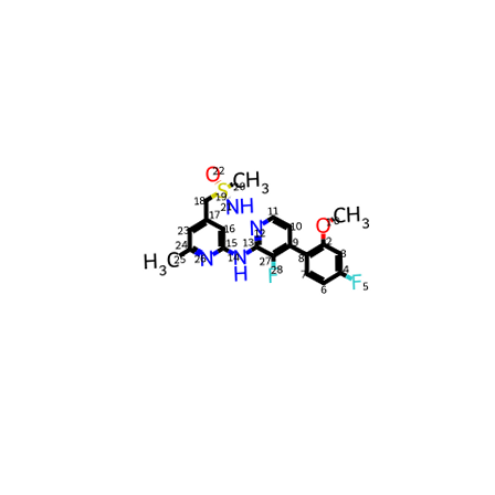 COc1cc(F)ccc1-c1ccnc(Nc2cc(CS(C)(=N)=O)cc(C)n2)c1F